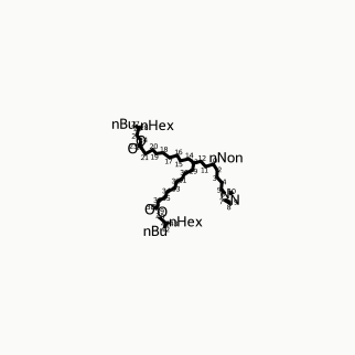 CCCCCCCCCC(CCCCn1ccnc1)CCC(CCCCCCCCC(=O)OCC(CCCC)CCCCCC)CCCCCCCCC(=O)OCC(CCCC)CCCCCC